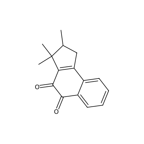 CC1CC2=C(C(=O)C(=O)c3ccccc32)C1(C)C